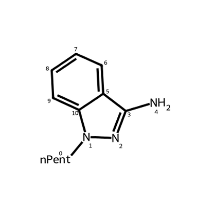 CCCCCn1nc(N)c2ccccc21